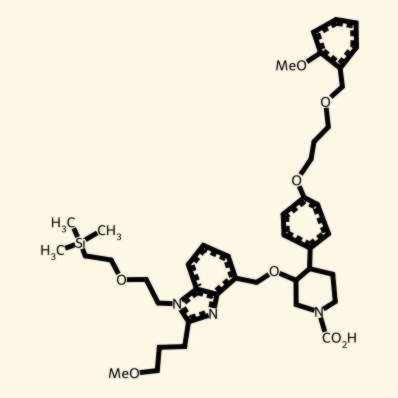 COCCCc1nc2c(COC3CN(C(=O)O)CCC3c3ccc(OCCCOCc4ccccc4OC)cc3)cccc2n1CCOCC[Si](C)(C)C